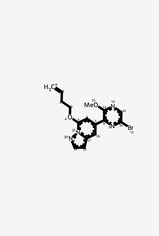 C=CCCOc1cc(-c2nc(Br)cnc2OC)cc2ccnn12